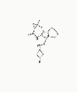 C=C(Nc1sc2c(c1SN[C@H]1C[C@@H](F)C1)CCCC2)C1CC1(C)F